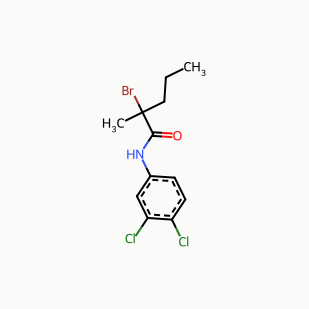 CCCC(C)(Br)C(=O)Nc1ccc(Cl)c(Cl)c1